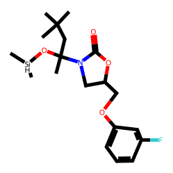 C[SiH](C)OC(C)(CC(C)(C)C)N1CC(COc2cccc(F)c2)OC1=O